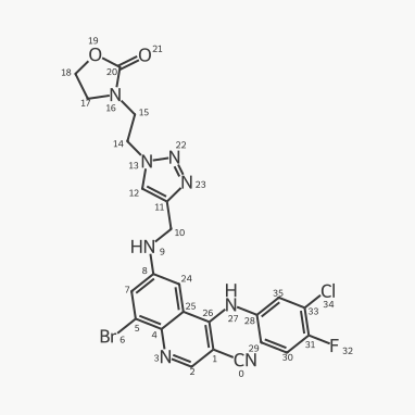 N#Cc1cnc2c(Br)cc(NCc3cn(CCN4CCOC4=O)nn3)cc2c1Nc1ccc(F)c(Cl)c1